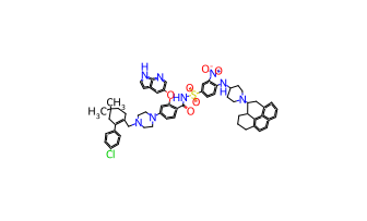 CC1(C)CCC(CN2CCN(c3ccc(C(=O)NS(=O)(=O)c4ccc(NC5CCN(C6Cc7cccc8ccc9c(c78)C6CCC9)CC5)c([N+](=O)[O-])c4)c(Oc4cnc5[nH]ccc5c4)c3)CC2)=C(c2ccc(Cl)cc2)C1